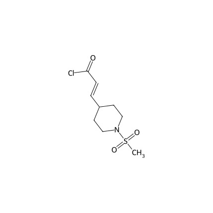 CS(=O)(=O)N1CCC(/C=C/C(=O)Cl)CC1